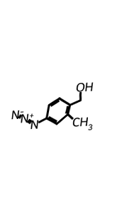 Cc1cc(N=[N+]=[N-])ccc1CO